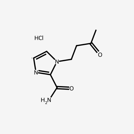 CC(=O)CCn1c[c]nc1C(N)=O.Cl